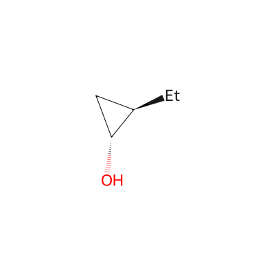 CC[C@@H]1C[C@H]1O